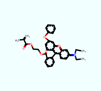 C=C(C)C(=O)OCCOC(=O)c1ccccc1-c1c2ccc(=[N+](CC)CC)cc-2oc2cc(Oc3ccccc3)ccc12